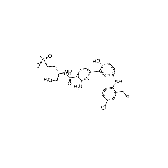 CS(=O)(=O)CC[C@@H](CO)NC(=O)c1ccc(-c2cc(Nc3ccc(Cl)cc3CF)ccc2O)nc1N